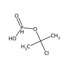 CC(C)(Cl)O[PH](=O)O